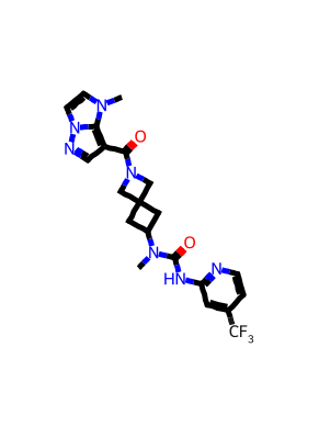 CN(C(=O)Nc1cc(C(F)(F)F)ccn1)C1CC2(C1)CN(C(=O)c1cnn3ccn(C)c13)C2